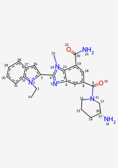 CCn1c(-c2nc3cc(C(=O)N4CCC[C@@H](N)C4)cc(C(N)=O)c3n2C)cc2ccccc21